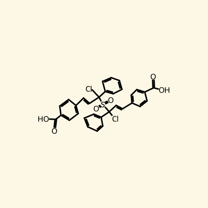 O=C(O)c1ccc(/C=C/C(Cl)(c2ccccc2)S(=O)(=O)C(Cl)(/C=C/c2ccc(C(=O)O)cc2)c2ccccc2)cc1